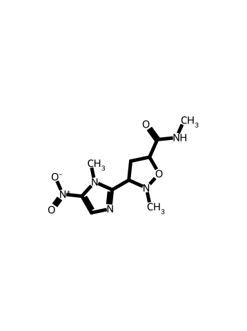 CNC(=O)C1CC(c2ncc([N+](=O)[O-])n2C)N(C)O1